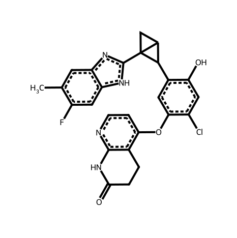 Cc1cc2nc(C34CC3C4c3cc(Oc4ccnc5c4CCC(=O)N5)c(Cl)cc3O)[nH]c2cc1F